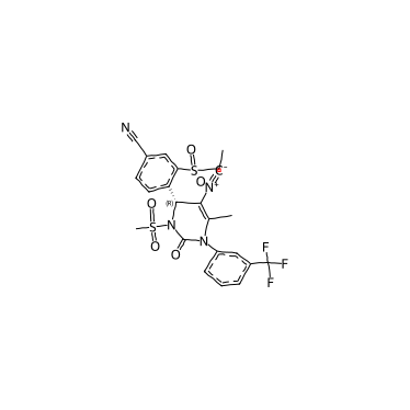 [C-]#[N+]C1=C(C)N(c2cccc(C(F)(F)F)c2)C(=O)N(S(C)(=O)=O)[C@@H]1c1ccc(C#N)cc1S(=O)(=O)CC